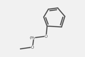 C[O][Pb][O]c1ccccc1